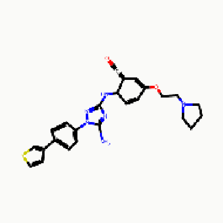 Nc1nc(NC2C=CC(OCCN3CCCC3)=CC2=C=O)nn1-c1ccc(-c2ccsc2)cc1